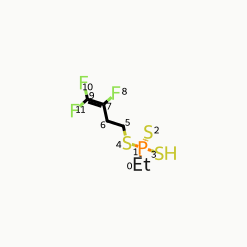 CCP(=S)(S)SCCC(F)=C(F)F